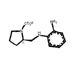 Nc1ccccc1NC[C@H]1CCCN1C(=O)O